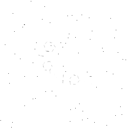 Cc1ccc(S(=O)(=O)C(C)(C)Cc2ccc(C(=O)c3ccccc3)cc2)cc1